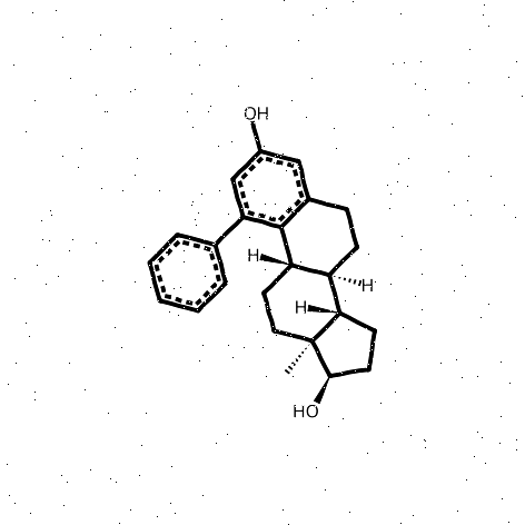 C[C@]12CC[C@@H]3c4c(cc(O)cc4-c4ccccc4)CC[C@H]3[C@@H]1CC[C@H]2O